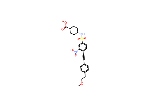 COCCc1ccc(C#Cc2ccc(S(=O)(=O)N[C@H]3CC[C@H](C(=O)OC)CC3)cc2[N+](=O)[O-])cc1